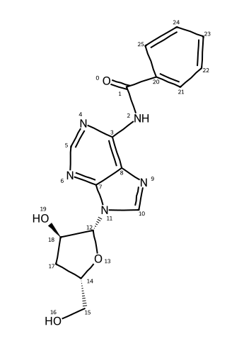 O=C(Nc1ncnc2c1ncn2[C@@H]1O[C@H](CO)C[C@H]1O)c1ccccc1